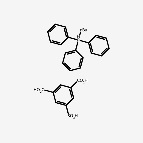 CCCC[PH](c1ccccc1)(c1ccccc1)c1ccccc1.O=C(O)c1cc(C(=O)O)cc(S(=O)(=O)O)c1